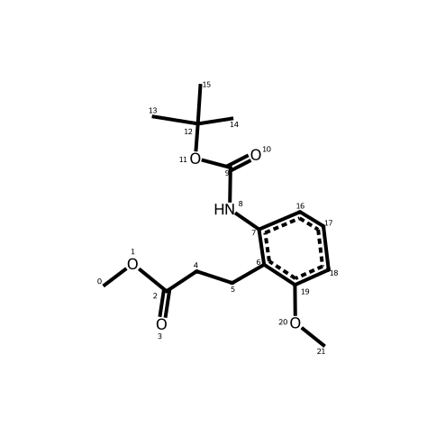 COC(=O)CCc1c(NC(=O)OC(C)(C)C)cccc1OC